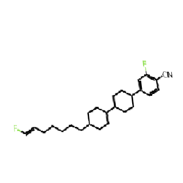 N#Cc1ccc(C2CCC(C3CCC(CCCCCC=CF)CC3)CC2)cc1F